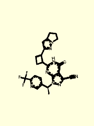 C[C@@H](c1ccc(C(F)(F)F)nc1)n1nc(C#N)c2c(=O)[nH]c(C3CCC3c3cc4n(n3)CCC4)nc21